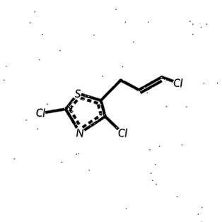 ClC=CCc1sc(Cl)nc1Cl